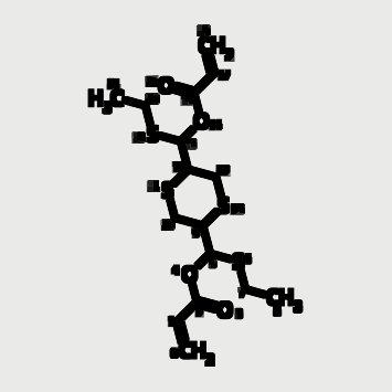 C=CC(=O)OC(SCC)C1CSC(C(OC(=O)C=C)SCC)CS1